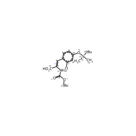 CC(C)(C)OC(=O)N/C(=C\c1ccc(O[Si](C)(C)C(C)(C)C)cc1Cl)C(=O)O